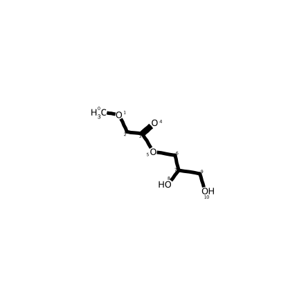 COCC(=O)OCC(O)CO